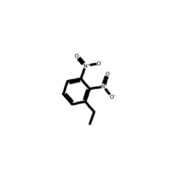 [CH2]Cc1cccc([N+](=O)[O-])c1[N+](=O)[O-]